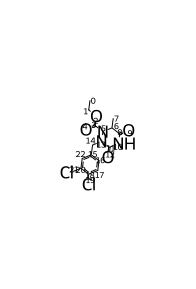 CCOC(=O)N1C(C)C(=O)NC(=O)N1Cc1ccc(Cl)c(Cl)c1